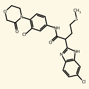 CSCCC(C(=O)Nc1ccc(N2CCOCC2=O)c(Cl)c1)c1nc2ccc(Cl)cc2[nH]1